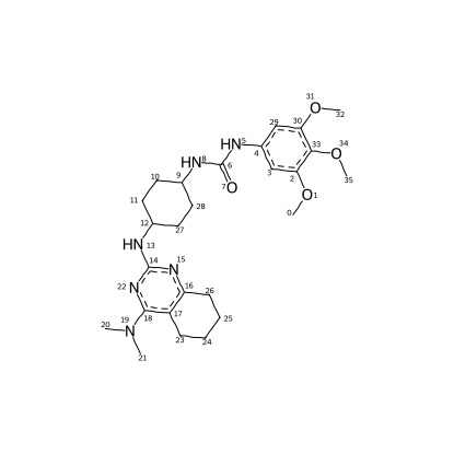 COc1cc(NC(=O)NC2CCC(Nc3nc4c(c(N(C)C)n3)CCCC4)CC2)cc(OC)c1OC